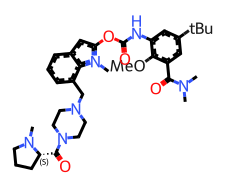 COc1c(NC(=O)Oc2cc3cccc(CN4CCN(C(=O)[C@@H]5CCCN5C)CC4)c3n2C)cc(C(C)(C)C)cc1C(=O)N(C)C